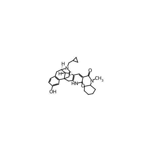 CN(C(=O)c1cc2c([nH]c1=O)CC13CCN(CC4CC4)[C@H](Cc4ccc(O)cc41)[C@@H]3C2)C1CCCCC1